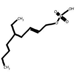 CCCCC(CC)CC=CCOS(=O)(=O)O